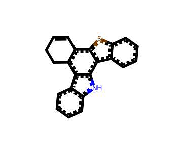 C1=Cc2c(c3c4ccccc4[nH]c3c3c2sc2ccccc23)CC1